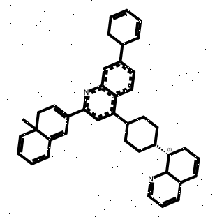 CC12C=CC=CC1=CC(c1cc(C3CCC([C@@H]4CC=CC5C=CC=NC54)CC3)c3ccc(C4C=CC=CC4)cc3n1)=CC2